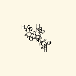 COc1ccccc1Oc1c(Cl)nc(-c2cc[nH]c(=O)c2)nc1C(N)=O